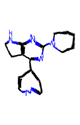 c1cc(-c2nc(N3CCCCC3)nc3c2CCN3)ccn1